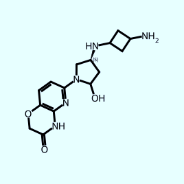 NC1CC(N[C@H]2CC(O)N(c3ccc4c(n3)NC(=O)CO4)C2)C1